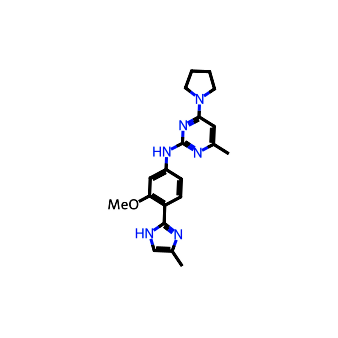 COc1cc(Nc2nc(C)cc(N3CCCC3)n2)ccc1-c1nc(C)c[nH]1